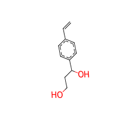 C=Cc1ccc(C(O)CCO)cc1